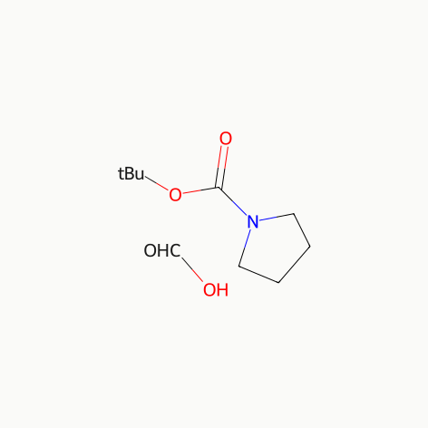 CC(C)(C)OC(=O)N1CCCC1.O=CO